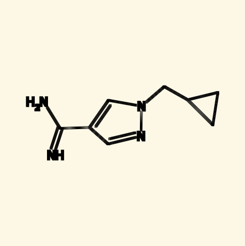 N=C(N)c1cnn(CC2CC2)c1